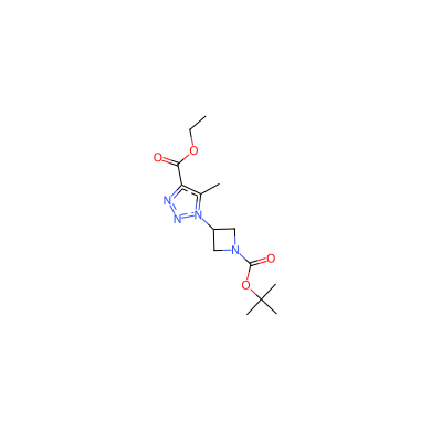 CCOC(=O)c1nnn(C2CN(C(=O)OC(C)(C)C)C2)c1C